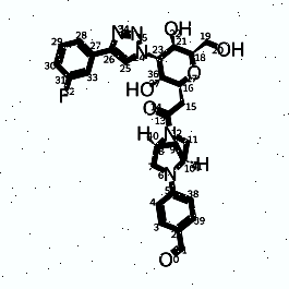 O=Cc1ccc(N2C[C@@H]3C[C@H]2CN3C(=O)C[C@@H]2O[C@H](CO)[C@H](O)[C@H](n3cc(-c4cccc(F)c4)nn3)[C@H]2O)cc1